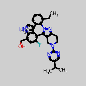 CCc1cccc(CC)c1-n1nc2c(c1-c1c(F)cc(CO)c3[nH]ccc13)CN(c1ncc(C(C)C)cn1)CC2